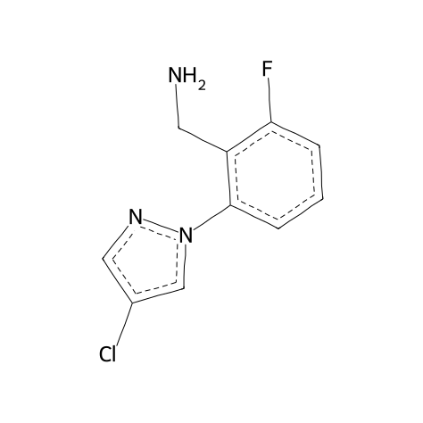 NCc1c(F)cccc1-n1cc(Cl)cn1